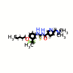 CCCCCOc1ccc(NC(=S)NC(=O)c2ccc(CN(C)C)nc2)cc1C(C)(F)F